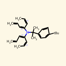 C=C/C=C(\C=C/C)N(C(/C=C\C)=C/C=C)C(C)(C)c1ccc(C(C)(C)C)cc1